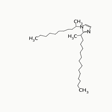 CCCCCCCCCCCCCC(C)c1nccn1C(C)CCCCCCCCC